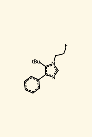 CC(C)(C)c1c(-c2ccccc2)ncn1CCF